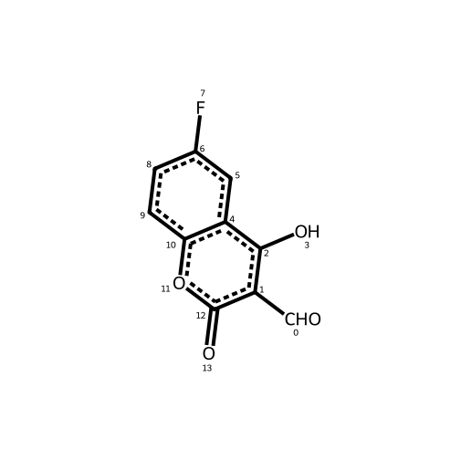 O=Cc1c(O)c2cc(F)ccc2oc1=O